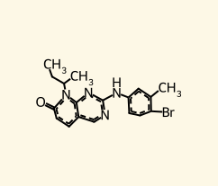 CCC(C)n1c(=O)ccc2cnc(Nc3ccc(Br)c(C)c3)nc21